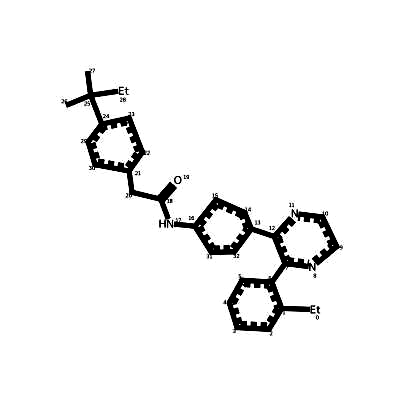 CCc1ccccc1-c1nccnc1-c1ccc(NC(=O)Cc2ccc(C(C)(C)CC)cc2)cc1